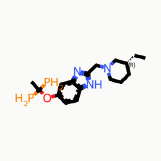 CC[C@@H]1CCCN(Cc2nc3cc(OC(C)(P)P)ccc3[nH]2)C1